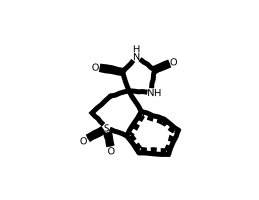 O=C1NC(=O)C2(CCS(=O)(=O)c3ccccc32)N1